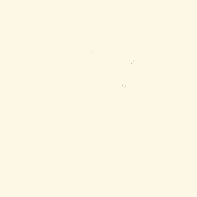 CO[Si](CCCC1=CC=CC1)(OC)OC